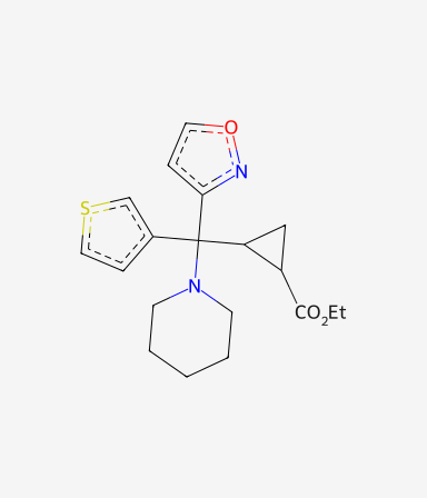 CCOC(=O)C1CC1C(c1ccsc1)(c1ccon1)N1CCCCC1